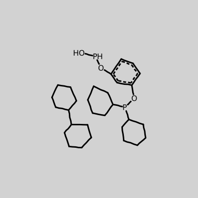 C1CCC(C2CCCCC2)CC1.OPOc1cccc(OP(C2CCCCC2)C2CCCCC2)c1